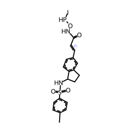 Cc1ccc(S(=O)(=O)NC2CCc3cc(/C=C/C(=O)NOPI)ccc32)cc1